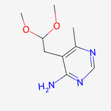 COC(Cc1c(C)ncnc1N)OC